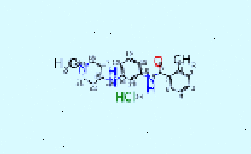 Cc1ccccc1C(=O)Nc1cccc(NC2CCN(C)CC2)c1.Cl